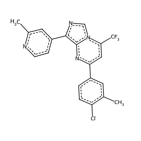 Cc1cc(-c2ncn3c(C(F)(F)F)cc(-c4ccc(Cl)c(C)c4)nc23)ccn1